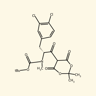 CN(C(=O)OC(C)(C)C)[C@H](Cc1ccc(Cl)c(Cl)c1)C(=O)C1C(=O)OC(C)(C)OC1=O